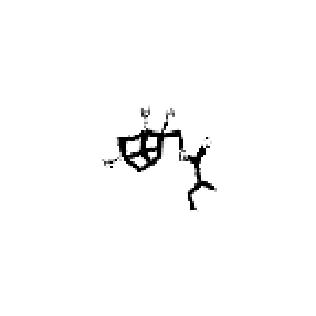 CCC(C)C(=O)OC[C@@H]1CC[C@H]2C[C@@H]1C2(C)C